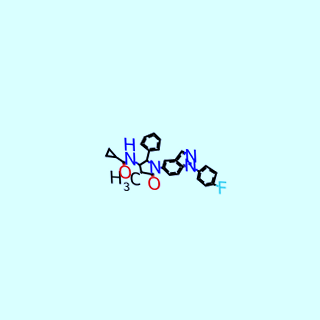 CC1C(=O)N(c2ccc3c(cnn3-c3ccc(F)cc3)c2)C(c2ccccc2)C1NC(=O)C1CC1